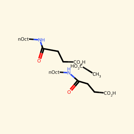 CC(=O)O.CCCCCCCCNC(=O)CCC(=O)O.CCCCCCCCNC(=O)CCC(=O)O